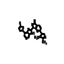 Cc1ncc(-c2ccc3[nH]nc(-c4nc5c(-c6ccc(F)s6)cncc5[nH]4)c3n2)n1C